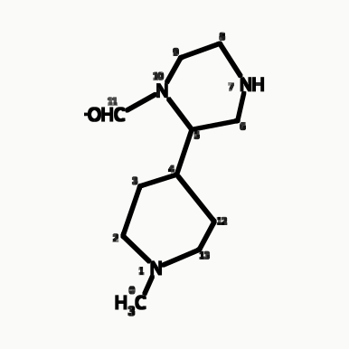 CN1CCC(C2CNCCN2[C]=O)CC1